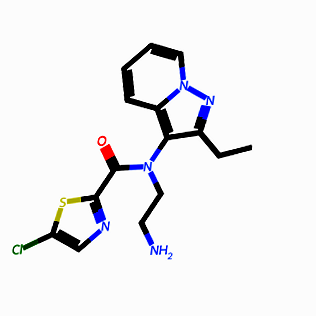 CCc1nn2ccccc2c1N(CCN)C(=O)c1ncc(Cl)s1